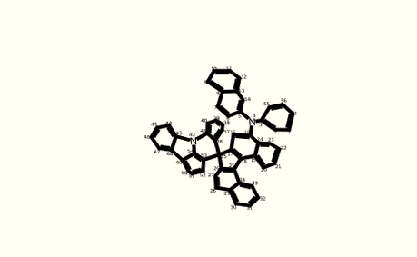 c1ccc(N(c2ccc3ccccc3c2)c2cc3c(c4ccccc24)-c2c(ccc4ccccc24)C32c3ccccc3-n3c4ccccc4c4cccc2c43)cc1